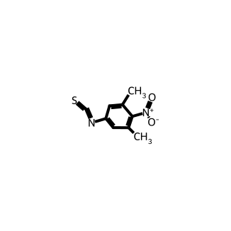 Cc1cc(N=C=S)cc(C)c1[N+](=O)[O-]